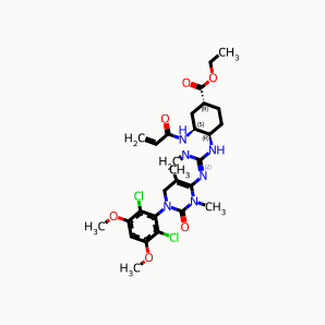 C=CC(=O)N[C@H]1C[C@H](C(=O)OCC)CC[C@H]1N/C(N=C)=N/C1=C(C)CN(c2c(Cl)c(OC)cc(OC)c2Cl)C(=O)N1C